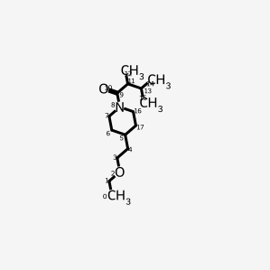 CCOCCC1CCN(C(=O)C(C)C(C)C)CC1